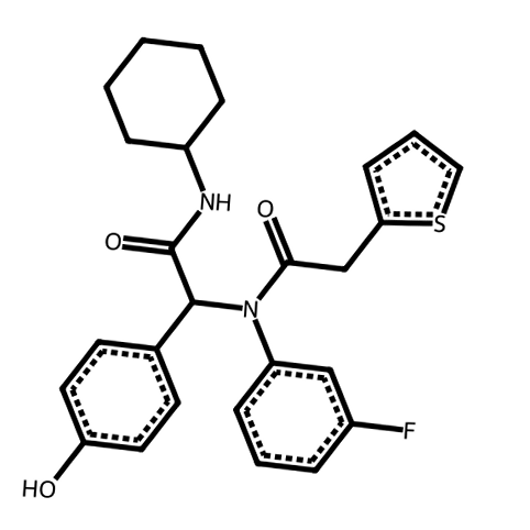 O=C(NC1CCCCC1)C(c1ccc(O)cc1)N(C(=O)Cc1cccs1)c1cccc(F)c1